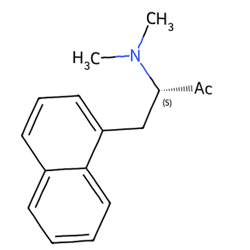 CC(=O)[C@H](Cc1cccc2ccccc12)N(C)C